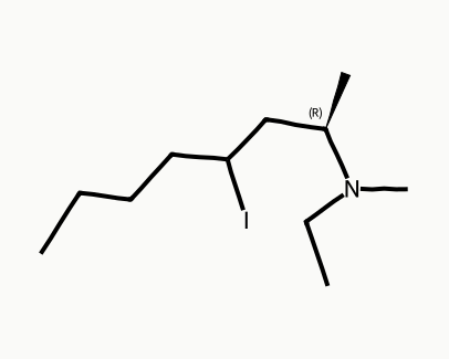 CCCCC(I)C[C@@H](C)N(C)CC